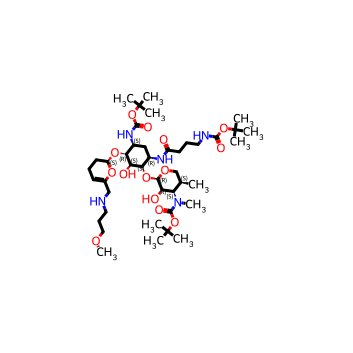 COCCCNCC1=CCC[C@@H](O[C@H]2[C@H](O)[C@@H](O[C@H]3OC[C@@H](C)[C@H](N(C)C(=O)OC(C)(C)C)[C@H]3O)[C@H](NC(=O)CCCNC(=O)OC(C)(C)C)C[C@@H]2NC(=O)OC(C)(C)C)O1